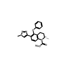 COC(=O)N1c2ccc(-c3cn(C)nn3)c(Oc3ccccc3)c2CC[C@@H]1C